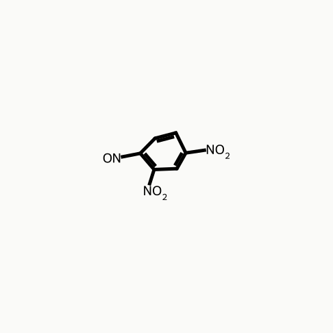 O=Nc1ccc([N+](=O)[O-])cc1[N+](=O)[O-]